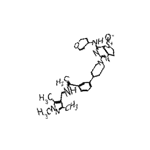 C=C(NCc1c(C)nn(C)c1C)c1cccc(C2CCN(c3nc4c(c(NC5CCOCC5)n3)[S+]([O-])CC4)CC2)c1